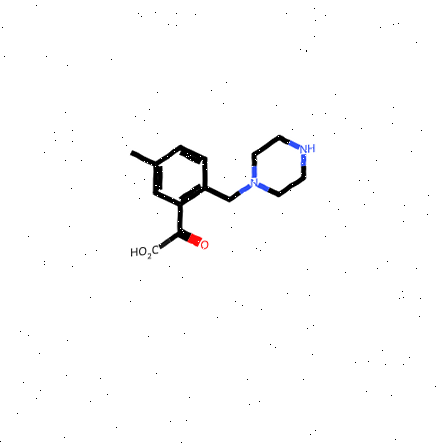 Cc1ccc(CN2CCNCC2)c(C(=O)C(=O)O)c1